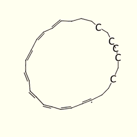 [C]1=C\C=C/C=C\C=C/C=C\C=C/C=CC=CCCCCCCCCCCCC1